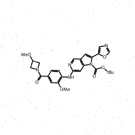 COc1cc(C(=O)N2CC(OC)C2)ccc1Nc1cc2c(cn1)cc(-c1cnco1)n2C(=O)OC(C)(C)C